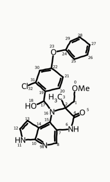 COCC1(C)C(=O)Nc2cnc3[nH]ccc3c2N1C(O)c1ccc(Oc2ccccc2)cc1Cl